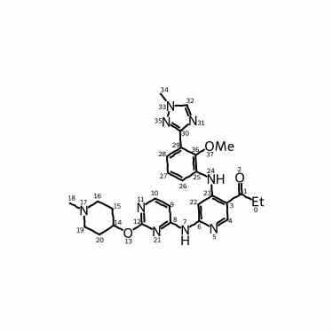 CCC(=O)c1cnc(Nc2ccnc(OC3CCN(C)CC3)n2)cc1Nc1cccc(-c2ncn(C)n2)c1OC